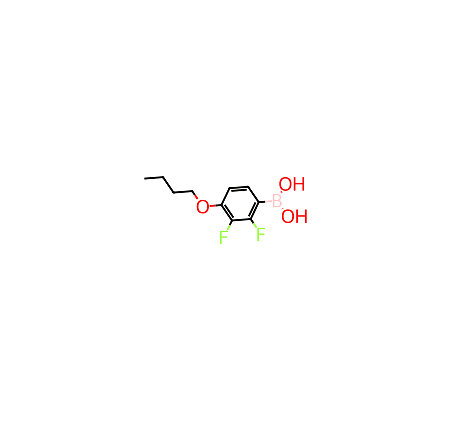 CCCCOc1ccc(B(O)O)c(F)c1F